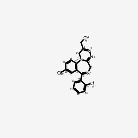 OCC1=NN=C2CN=C(c3ccccc3Cl)c3cc(Cl)ccc3N2C1